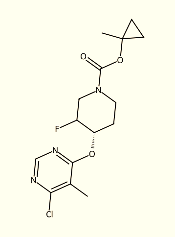 Cc1c(Cl)ncnc1O[C@H]1CCN(C(=O)OC2(C)CC2)CC1F